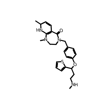 CNCCC(Oc1ccc(CN2CCN(C)C3=C(C=CC(C)N3)C2=O)cc1)c1cccs1